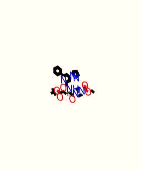 CCOC(=O)N1CCN(C(=O)[C@H](CCC(=O)OC(C)(C)C)NC(=O)c2cc(-n3cccn3)cc(-c3ccccc3)n2)CC1